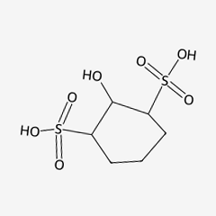 O=S(=O)(O)C1CCCC(S(=O)(=O)O)C1O